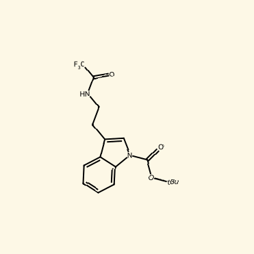 CC(C)(C)OC(=O)n1cc(CCNC(=O)C(F)(F)F)c2ccccc21